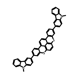 Cn1c2ccccc2c2cc(-c3ccc4c(c3)Sc3ccc5c6c(ccc-4c36)-c3ccc(-c4ccc6c(c4)c4ccccc4n6C)cc3S5)ccc21